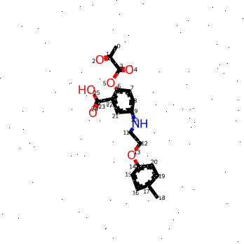 CC(=O)C(=O)Oc1ccc(NCCOc2ccc(C)cc2)cc1C(=O)O